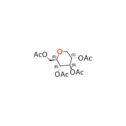 CC(=O)OC[C@H]1OC[C@H](OC(C)=O)[C@@H](OC(C)=O)[C@@H]1OC(C)=O